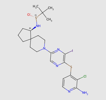 CC(C)(C)[S@@+]([O-])N[C@@H]1CCCC12CCN(c1cnc(Sc3ccnc(N)c3Cl)c(I)n1)CC2